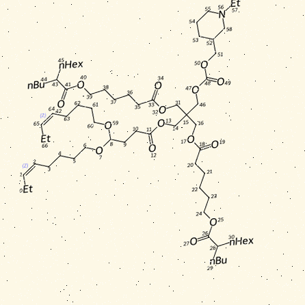 CC/C=C\CCCCOC(CCC(=O)OCC(COC(=O)CCCCCOC(=O)C(CCCC)CCCCCC)(COC(=O)CCCCCOC(=O)C(CCCC)CCCCCC)COC(=O)OCC1CCCN(CC)C1)OCCCC/C=C\CC